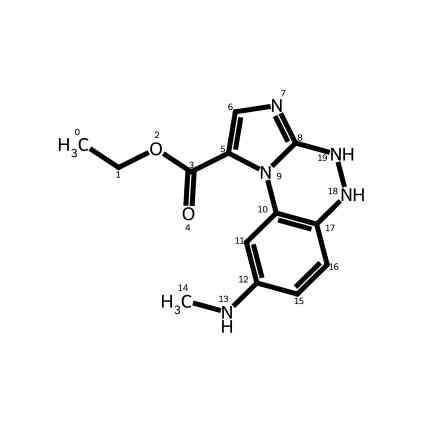 CCOC(=O)c1cnc2n1-c1cc(NC)ccc1NN2